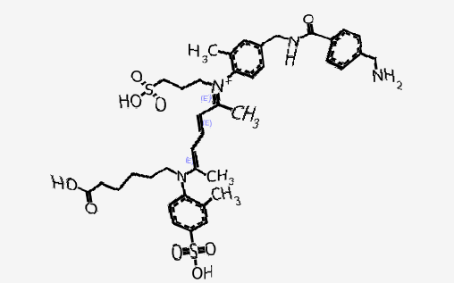 C\C(=C/C=C/C(C)=[N+](\CCCS(=O)(=O)O)c1ccc(CNC(=O)c2ccc(CN)cc2)cc1C)N(CCCCCC(=O)O)c1ccc(S(=O)(=O)O)cc1C